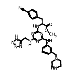 COC(=O)[C@H](Cc1ccc(C#N)cc1)Nc1nc(NCc2nnn[nH]2)nc(Nc2cccc(CN3CCNCC3)c2)n1